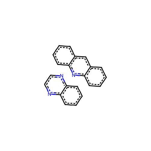 c1ccc2nc3ccccc3cc2c1.c1ccc2nccnc2c1